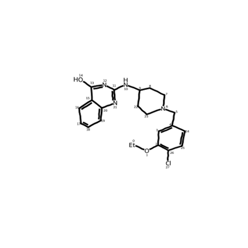 CCOc1cc(CN2CCC(Nc3nc(O)c4ccccc4n3)CC2)ccc1Cl